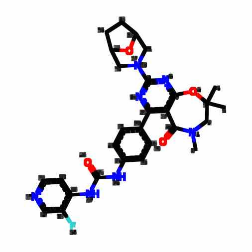 CN1CC(C)(C)Oc2nc(N3CC4CCC(C3)O4)nc(-c3ccc(NC(=O)Nc4ccncc4F)cc3)c2C1=O